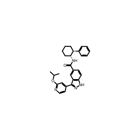 CC(C)Oc1cc(-c2n[nH]c3ccc(C(=O)N[C@@H]4CCCC[C@H]4c4ccccc4)cc23)ccn1